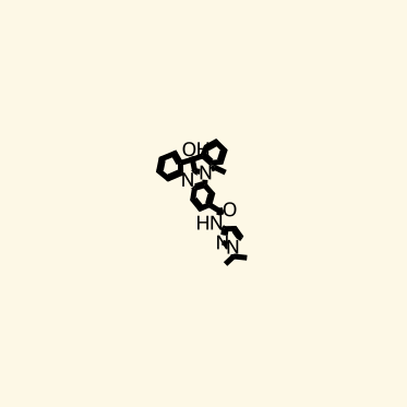 CCn1c(C(O)(c2ccccc2)c2ccccc2)nc2ccc(C(=O)Nc3ccn(C(C)C)n3)cc21